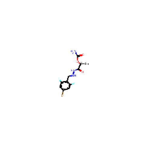 CC(C)(C)[C@H](OC(N)=O)C(=O)NNCc1c(F)cc(Br)cc1F